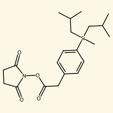 CC(C)C[Si](C)(CC(C)C)c1ccc(CC(=O)ON2C(=O)CCC2=O)cc1